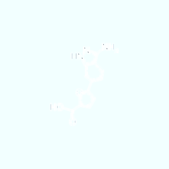 Nc1n[nH]c2cc(-c3ccc(C(=O)O)o3)ccc12